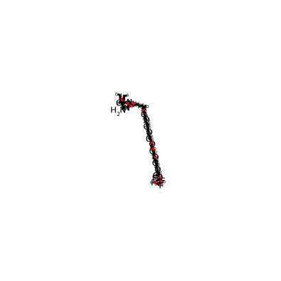 CCCN(CCC)C(=O)C1=Cc2nn(CCCCCN(C)CCOCCOCCOCCOCCOCCOCCOCCOCCOCCOCCC(=O)Oc3c(F)c(F)cc(F)c3F)cc2N=C(N)C1